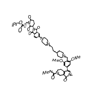 CNC(=O)N1CCc2c(-c3cc(OC)c(CN4CCC(CCN5CCN(c6ccc7c(c6)C(=O)N(C6CCC(=O)N(COC(=O)OC(C)C)C6=O)C7=O)CC5)CC4)c(OC)c3)cn(C)c(=O)c2C1